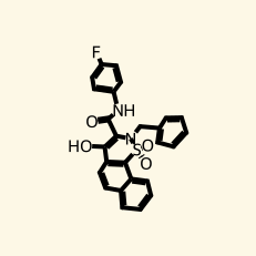 O=C(Nc1ccc(F)cc1)C1=C(O)c2ccc3ccccc3c2S(=O)(=O)N1Cc1ccccc1